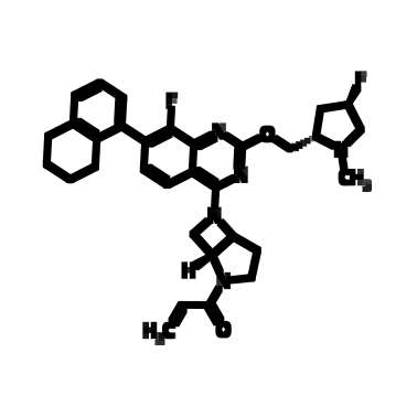 C=CC(=O)N1CCC2[C@H]1CN2c1nc(OC[C@@H]2C[C@@H](F)CN2C)nc2c(F)c(-c3cccc4c3CCCC4)ccc12